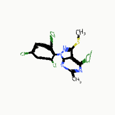 CSc1nn(-c2c(Cl)cc(Cl)cc2Cl)c2nc(C)nc(Cl)c12